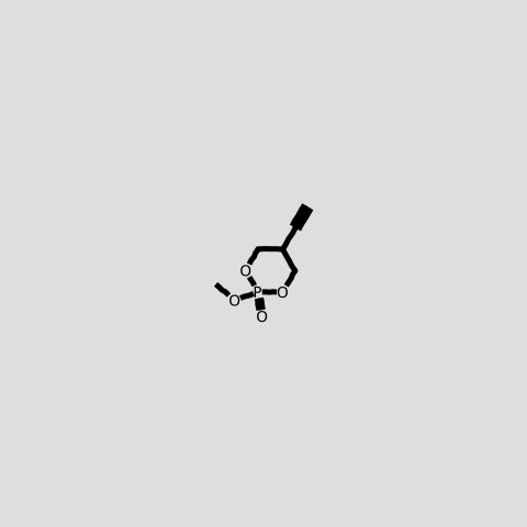 C#CC1COP(=O)(OC)OC1